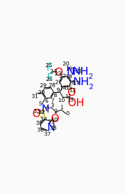 CCC1CN(Cc2cc(C(CC(=O)O)c3cc(N)c(N(C)N)c(OC(F)F)c3)ccc2C)[S+]([O-])c2cccnc2O1